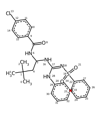 CC(C)(C)CC(NC(=O)c1ccc(Cl)cc1)N/C(=N/S(=O)(=O)c1ccccc1)Nc1cccnc1